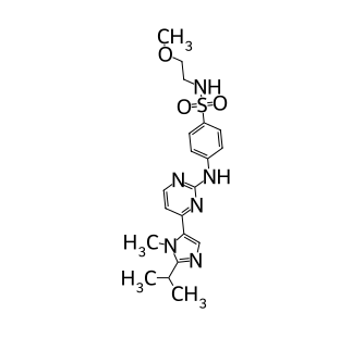 COCCNS(=O)(=O)c1ccc(Nc2nccc(-c3cnc(C(C)C)n3C)n2)cc1